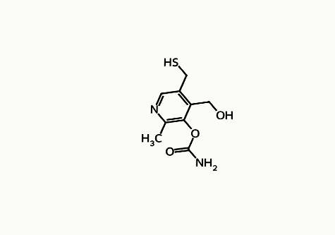 Cc1ncc(CS)c(CO)c1OC(N)=O